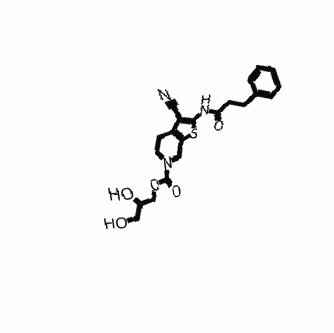 N#Cc1c(NC(=O)CCc2ccccc2)sc2c1CCN(C(=O)OCC(O)CO)C2